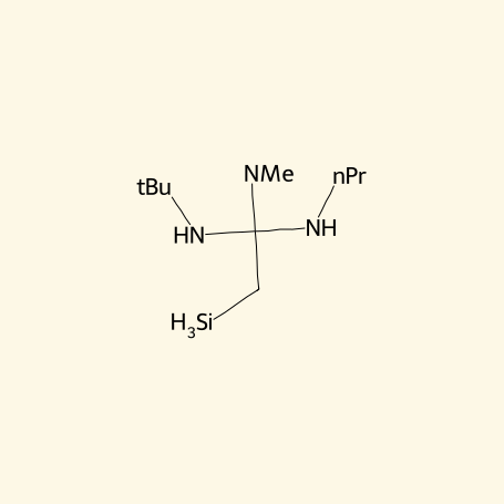 CCCNC(C[SiH3])(NC)NC(C)(C)C